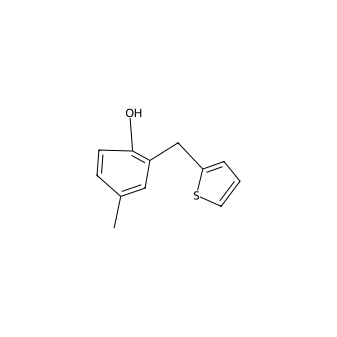 Cc1ccc(O)c(Cc2cccs2)c1